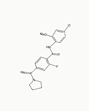 COc1cc(Cl)ccc1NC(=O)c1ccc(C(=N)N2CCCC2)cc1F